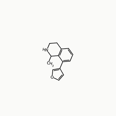 CC1NCCc2cccc(-c3ccoc3)c21